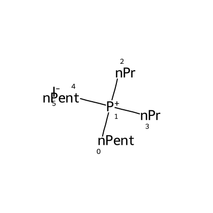 CCCCC[P+](CCC)(CCC)CCCCC.[I-]